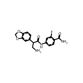 NCC(C(=O)Nc1ccc(C(N)=O)c(F)c1)c1ccc2c(c1)OCO2